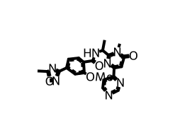 COc1cc(-c2noc(C)n2)ccc1C(=O)NC(C)c1nc(-c2ccncn2)cc(=O)n1C